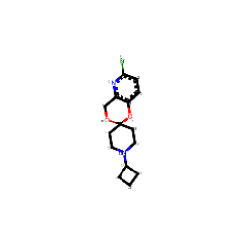 Brc1ccc2c(n1)COC1(CCN(C3CCC3)CC1)O2